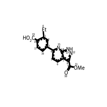 CCc1cc(-c2ccc3c(C(=O)OC)n[nH]c3n2)ccc1C(=O)O